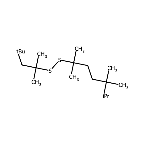 CC(C)C(C)(C)CCC(C)(C)SSC(C)(C)CC(C)(C)C